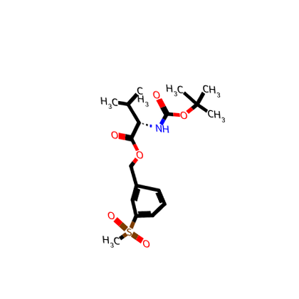 CC(C)[C@H](NC(=O)OC(C)(C)C)C(=O)OCc1cccc(S(C)(=O)=O)c1